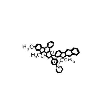 Cc1ccc2c(c1)C(C)(C)c1c3c(c4ccccc4c1-2)OC(c1ccc(N2CCCCC2)cc1)(c1ccc2c(c1)C(C)(C)c1cc4ccccc4cc1-2)C=C3